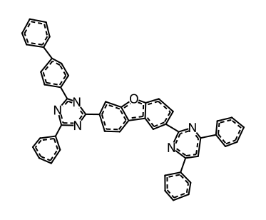 c1ccc(-c2ccc(-c3nc(-c4ccccc4)nc(-c4ccc5c(c4)oc4ccc(-c6nc(-c7ccccc7)cc(-c7ccccc7)n6)cc45)n3)cc2)cc1